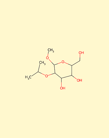 COC1OC(CO)C(O)C(O)C1OC(C)C